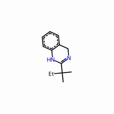 CCC(C)(C)C1=NCc2ccccc2N1